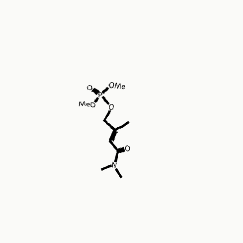 COP(=O)(OC)OC/C(C)=C/C(=O)N(C)C